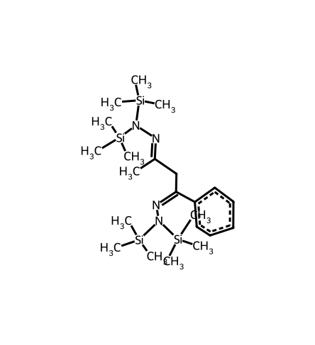 CC(CC(=NN([Si](C)(C)C)[Si](C)(C)C)c1ccccc1)=NN([Si](C)(C)C)[Si](C)(C)C